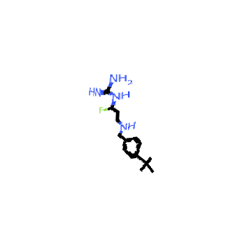 CC(C)(C)c1ccc(CNCCC(F)NC(=N)N)cc1